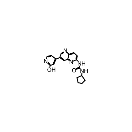 O=C(Nc1ccc2ncc(-c3ccnc(O)c3)cc2n1)NC1CCCC1